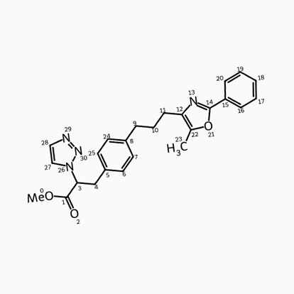 COC(=O)C(Cc1ccc(CCCc2nc(-c3ccccc3)oc2C)cc1)n1ccnn1